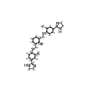 Fc1cc(C2=NCCN2)ccc1SCc1cccc(CSc2ccc(C3=NCCN3)cc2F)c1F